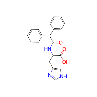 O=C(O)C(Cc1c[nH]cn1)NC(=O)C(c1ccccc1)c1ccccc1